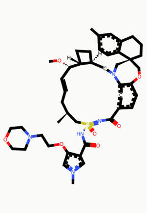 CO[C@H]1/C=C/C[C@H](C)C[S@@](=O)(NC(=O)c2cn(C)cc2OCCN2CCOCC2)=NC(=O)c2ccc3c(c2)N(C[C@@H]2CC[C@H]21)C[C@@]1(CCCc2cc(C)ccc21)CO3